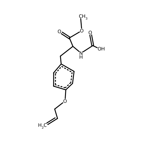 C=CCOc1ccc(CC(NC(=O)O)C(=O)OC)cc1